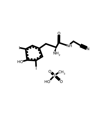 CS(=O)(=O)O.N#CCNC(=O)[C@@H](N)Cc1cc(I)c(O)c(I)c1